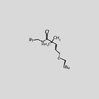 CC(C)CNC(=O)C(C)(C)/C=C/COCC(C)(C)C